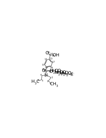 CCCN(CCC)S(=O)(=O)c1ccc(C(=O)O)cc1.O.O.O.O.O.O.[Y]